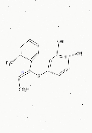 O=C(O)/C=C(\Sc1ccc(O)c(O)c1)c1ccccc1C(F)(F)F